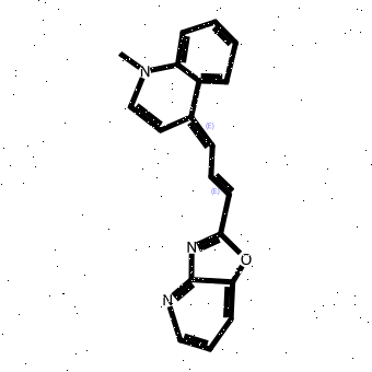 CN1C=C/C(=C\C=C\c2nc3ncccc3o2)c2ccccc21